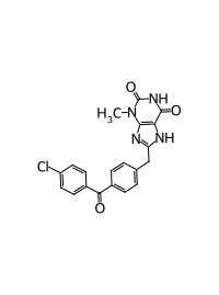 Cn1c(=O)[nH]c(=O)c2[nH]c(Cc3ccc(C(=O)c4ccc(Cl)cc4)cc3)nc21